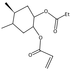 C=CC(=O)OC1CC(C)[C@@H](C)CC1OC(=O)CC